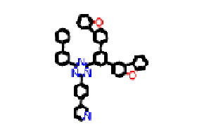 c1ccc(-c2cccc(-c3nc(-c4ccc(-c5cccnc5)cc4)nc(-c4cc(-c5ccc6oc7ccccc7c6c5)cc(-c5ccc6oc7ccccc7c6c5)c4)n3)c2)cc1